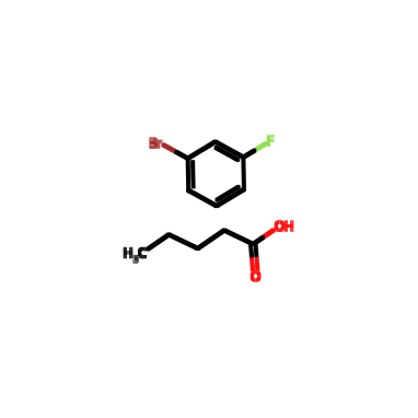 CCCCC(=O)O.Fc1cccc(Br)c1